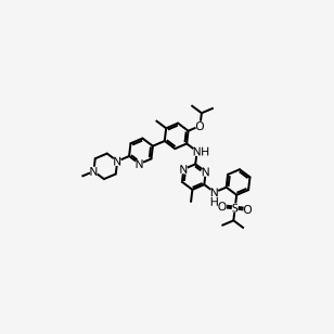 Cc1cc(OC(C)C)c(Nc2ncc(C)c(Nc3ccccc3S(=O)(=O)C(C)C)n2)cc1-c1ccc(N2CCN(C)CC2)nc1